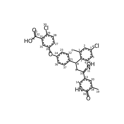 Cc1cc(Cl)ccc1C(C/C(=N\O)c1c[nH]c(=O)c(C)c1)c1ccc(Oc2ccc(Cl)c(C(=O)O)c2)cc1